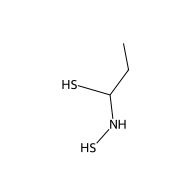 CCC(S)NS